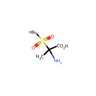 CCCCS(=O)(=O)C(C)(N)C(=O)O